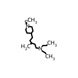 C=C(CCC1CCN(SC)CC1)CCN(CCC)CCC